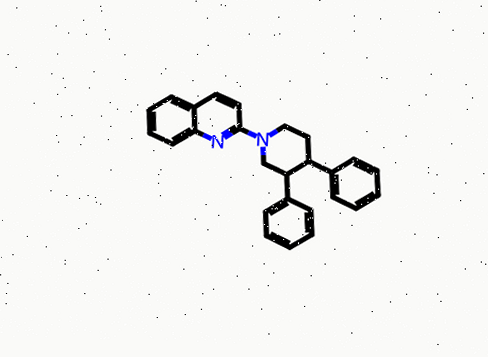 c1ccc(C2CCN(c3ccc4ccccc4n3)CC2c2ccccc2)cc1